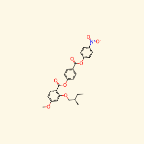 CC[C@@H](C)COc1cc(OC)ccc1C(=O)Oc1ccc(C(=O)Oc2ccc([N+](=O)[O-])cc2)cc1